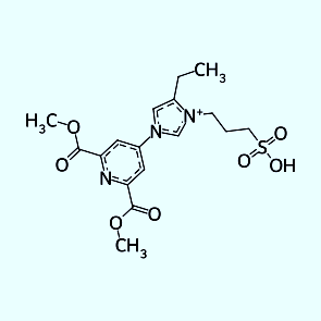 CCc1cn(-c2cc(C(=O)OC)nc(C(=O)OC)c2)c[n+]1CCCS(=O)(=O)O